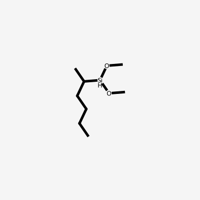 CCCCC(C)[SiH](OC)OC